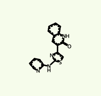 O=c1[nH]c2ccccc2cc1-c1csc(Nc2ccccn2)n1